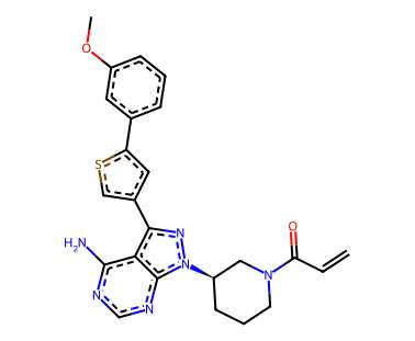 C=CC(=O)N1CCC[C@@H](n2nc(-c3csc(-c4cccc(OC)c4)c3)c3c(N)ncnc32)C1